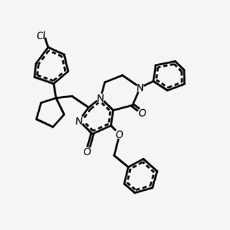 O=C1c2c(OCc3ccccc3)c(=O)nc(CC3(c4ccc(Cl)cc4)CCCC3)n2CCN1c1ccccc1